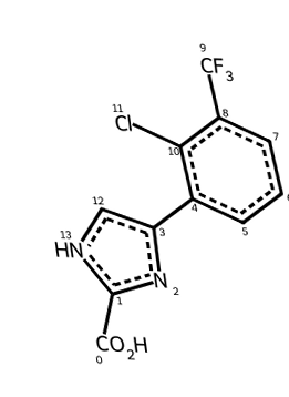 O=C(O)c1nc(-c2cccc(C(F)(F)F)c2Cl)c[nH]1